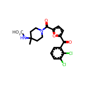 CC1(NC(=O)O)CCN(C(=O)c2ccc(C(=O)c3cccc(Cl)c3Cl)o2)CC1